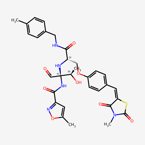 Cc1ccc(CNC(=O)[C@H](COc2ccc(C=C3SC(=O)N(C)C3=O)cc2)N[C@](C=O)(NC(=O)c2cc(C)on2)[C@@H](C)O)cc1